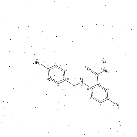 CCNC(=O)c1cc(Br)ccc1NCc1ccc(C(C)CC)cc1